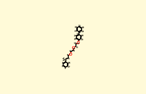 c1ccc([Se]CCOCCOCCOc2ccc(-c3ccccc3)cc2)cc1